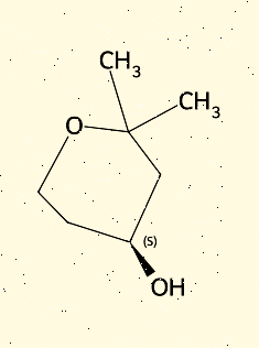 CC1(C)C[C@@H](O)CCO1